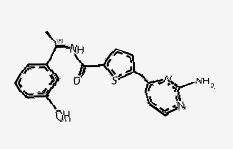 C[C@@H](NC(=O)c1ccc(-c2ccnc(N)n2)s1)c1cccc(O)c1